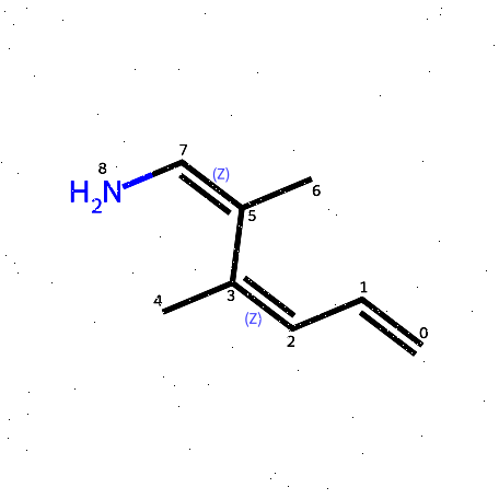 C=C/C=C(C)\C(C)=C/N